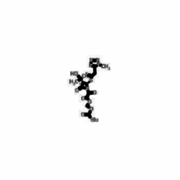 Cn1nnnc1CC(=S)S[C@@H]1[C@H](C(C)(C)O)C(=O)N1C(=O)C(=O)OCOC(=O)C(C)(C)C